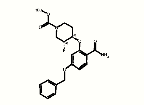 CC(C)(C)OC(=O)N1CC[C@@H](Oc2cc(OCc3ccccc3)ccc2C(N)=O)[C@H](F)C1